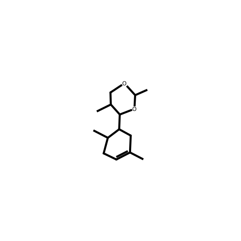 CC1=CCC(C)C(C2OC(C)OCC2C)C1